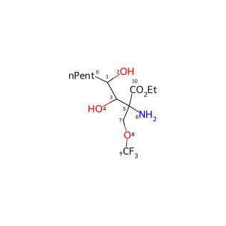 CCCCCC(O)C(O)C(N)(COC(F)(F)F)C(=O)OCC